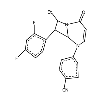 CCC1C(c2ccc(F)cc2F)C2N(c3ccc(C#N)cc3)C=CC(=O)N12